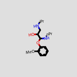 CCCNC(Oc1ccccc1OC)C(O)CNC(C)C